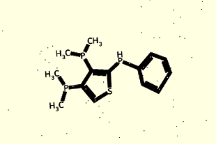 CP(C)c1csc(Pc2ccccc2)c1P(C)C